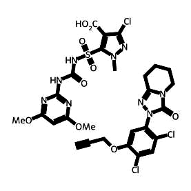 C#CCOc1cc(-n2nc3n(c2=O)CCCC3)c(Cl)cc1Cl.COc1cc(OC)nc(NC(=O)NS(=O)(=O)c2c(C(=O)O)c(Cl)nn2C)n1